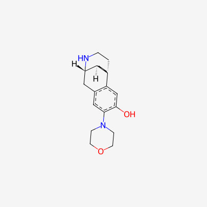 Oc1cc2c(cc1N1CCOCC1)C[C@@H]1NCC[C@]23CCCC[C@H]13